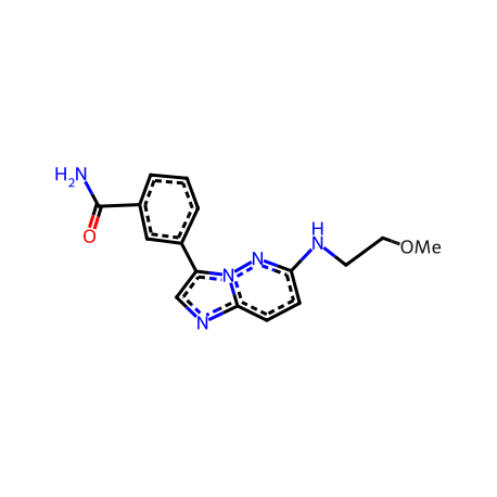 COCCNc1ccc2ncc(-c3cccc(C(N)=O)c3)n2n1